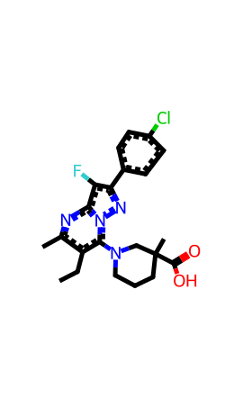 CCc1c(C)nc2c(F)c(-c3ccc(Cl)cc3)nn2c1N1CCCC(C)(C(=O)O)C1